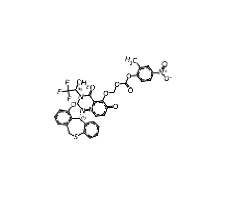 Cc1cc([N+](=O)[O-])ccc1OC(=O)OCOc1c2n(ccc1=O)N([C@@H]1c3ccccc3SCc3cccc(Cl)c31)CN([C@H](C)C(F)(F)F)C2=O